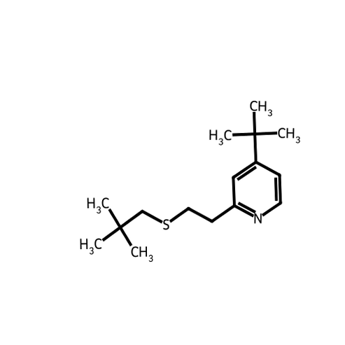 CC(C)(C)CSCCc1cc(C(C)(C)C)ccn1